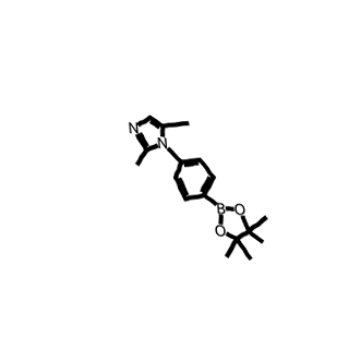 Cc1cnc(C)n1-c1ccc(B2OC(C)(C)C(C)(C)O2)cc1